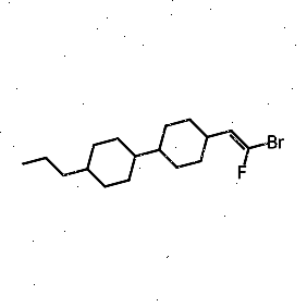 CCCC1CCC(C2CCC(/C=C(\F)Br)CC2)CC1